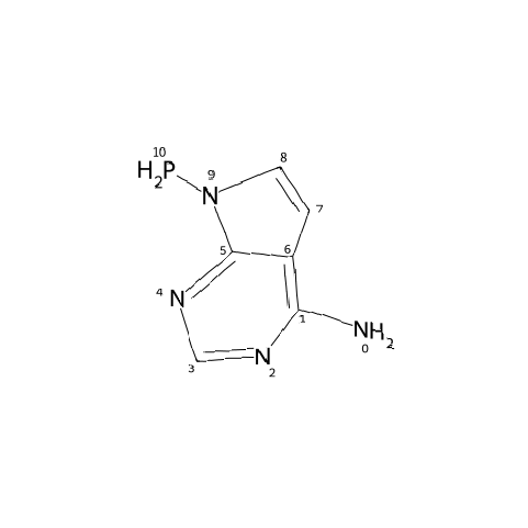 Nc1ncnc2c1ccn2P